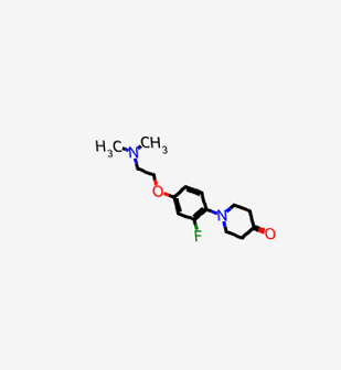 CN(C)CCOc1ccc(N2CCC(=O)CC2)c(F)c1